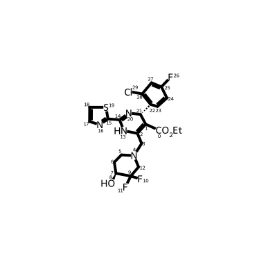 CCOC(=O)C1=C(CN2CC[C@H](O)C(F)(F)C2)NC(c2nccs2)=N[C@@H]1c1ccc(F)cc1Cl